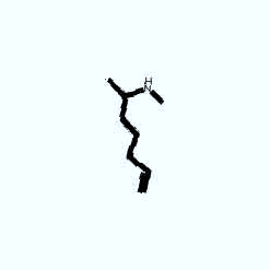 [CH2]C(CCCC=C)NC